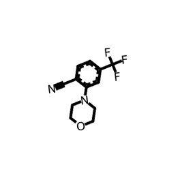 N#Cc1ccc(C(F)(F)F)cc1N1CCOCC1